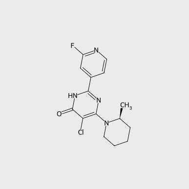 C[C@H]1CCCCN1c1nc(-c2ccnc(F)c2)[nH]c(=O)c1Cl